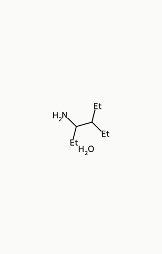 CCC(N)C(CC)CC.O